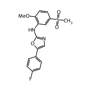 COc1ccc(S(C)(=O)=O)cc1Nc1ncc(-c2ccc(F)cc2)o1